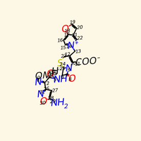 CO/N=C(\C(=O)NC1C(=O)N2C(C(=O)[O-])=C(C[n+]3ccc4occc4c3)CS[C@H]12)c1cc(N)on1